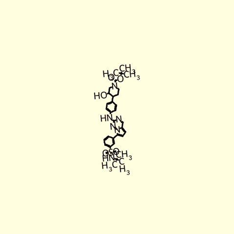 CC(C)(C)NS(=O)(=O)c1cccc(-c2ccc3cnc(Nc4ccc(C5CCN(C(=O)OC(C)(C)C)CC5O)cc4)nn23)c1